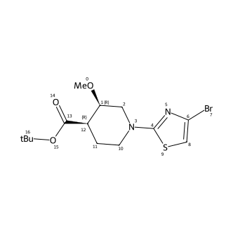 CO[C@H]1CN(c2nc(Br)cs2)CC[C@H]1C(=O)OC(C)(C)C